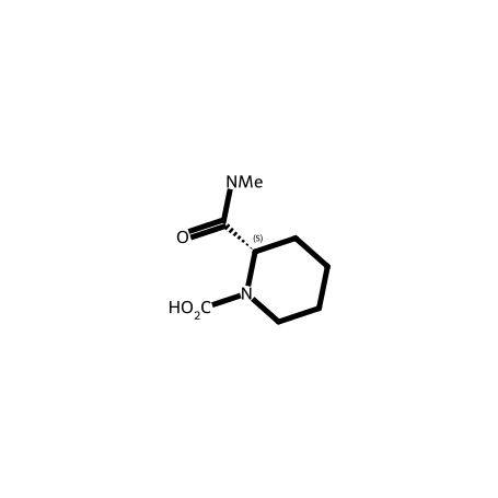 CNC(=O)[C@@H]1CCCCN1C(=O)O